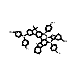 CC(C)(C)c1ccc(N2B3c4sc5ccc(C(C)(C)C)cc5c4N(c4ccc(C(C)(C)C)cc4)c4cc5c(oc6ccccc65)c(c43)-c3cc4c(cc32)C(C)(C)c2ccc(N(c3ccc(C(C)(C)C)cc3)c3ccc(C(C)(C)C)cc3)cc2-4)cc1